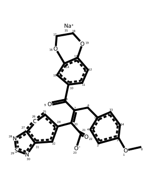 COc1ccc(CC(C(=O)c2ccc3c(c2)OCCO3)=C(C(=O)[O-])c2ccc3nsnc3c2)cc1.[Na+]